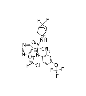 C[C@](C(=O)N[C@H]1CC2CC1CC2(F)F)(c1cncnc1)N(C(=O)[C@H](F)Cl)c1ccc(OC(F)(F)F)cc1F